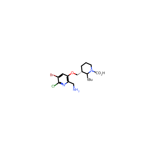 CC(C)(C)C1[C@H](COc2cc(Br)c(Cl)nc2CN)CCCN1C(=O)O